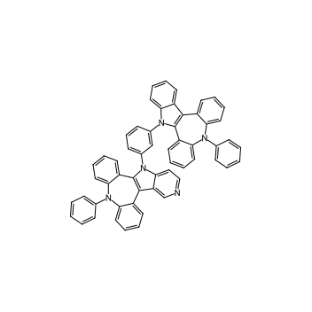 c1ccc(N2c3ccccc3-c3c(n(-c4cccc(-n5c6c(c7cnccc75)-c5ccccc5N(c5ccccc5)c5ccccc5-6)c4)c4ccccc34)-c3ccccc32)cc1